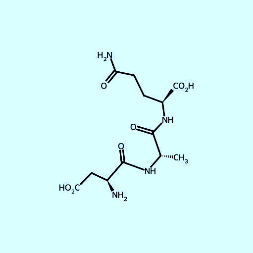 C[C@H](NC(=O)[C@@H](N)CC(=O)O)C(=O)N[C@@H](CCC(N)=O)C(=O)O